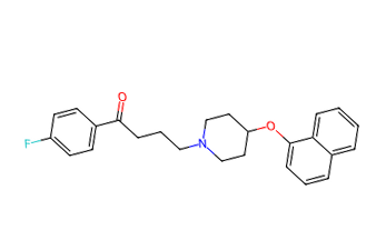 O=C(CCCN1CCC(Oc2cccc3ccccc23)CC1)c1ccc(F)cc1